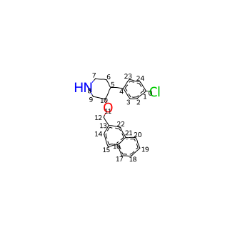 Clc1ccc(C2CCNCC2OCc2ccc3ccccc3c2)cc1